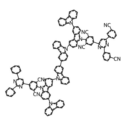 N#Cc1cccc(-c2cc(-c3cc(C#N)c(-n4c5ccc(-n6c7ccccc7c7ccccc76)cc5c5cc(-n6c7ccccc7c7cc(-c8ccc9c(c8)c8ccccc8n9-c8ccc9c(c8)c8cc(-n%10c%11ccccc%11c%11ccccc%11%10)ccc8n9-c8c(C#N)cc(-c9cc(-c%10ccccc%10)nc(-c%10ccccc%10)n9)cc8C#N)ccc76)ccc54)c(C#N)c3)nc(-c3cccc(C#N)c3)n2)c1